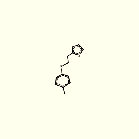 Cc1ccc(SCCc2cccs2)cc1